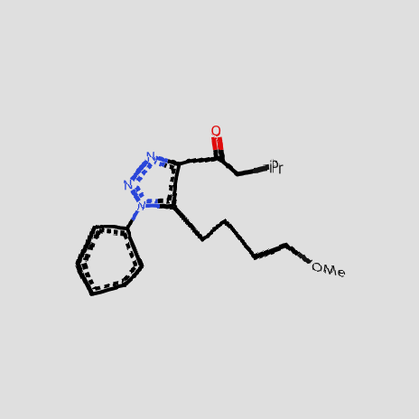 [CH2]C(C)CC(=O)c1nnn(-c2ccccc2)c1CCCCOC